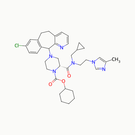 Cc1cn(CCN(CC2CC2)C(=O)[C@H]2CN(C3c4ccc(Cl)cc4CCc4cccnc43)CCN2C(=O)OC2CCCCC2)cn1